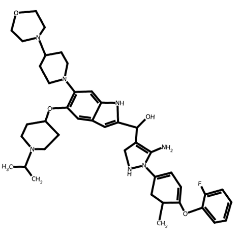 CC1CC(N2NCC(C(O)c3cc4cc(OC5CCN(C(C)C)CC5)c(N5CCC(N6CCOCC6)CC5)cc4[nH]3)=C2N)=CC=C1Oc1ccccc1F